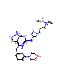 CC(C)(C)N(CCCn1cc(Nc2nc(Cc3cccc(N4CCOCC4)c3)c3cn[nH]c3n2)cn1)C(=O)O